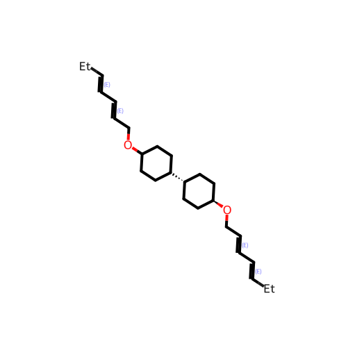 CC/C=C/C=C/COC1CCC([C@H]2CC[C@H](OC/C=C/C=C/CC)CC2)CC1